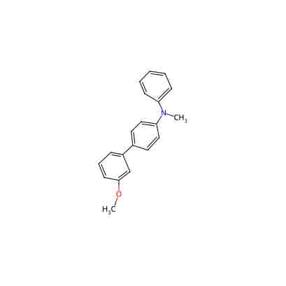 COc1cccc(-c2ccc(N(C)c3ccccc3)cc2)c1